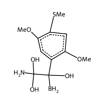 BC(O)(c1cc(OC)c(SC)cc1OC)C(N)(O)O